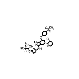 CC(C)(O)C(O)Cn1ccc(Nc2n[nH]c3c(Oc4ccc(S(C)(=O)=O)cc4)cc(-c4ncccc4Cl)cc23)n1